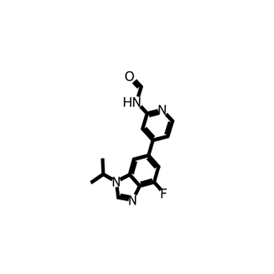 CC(C)n1cnc2c(F)cc(-c3ccnc(NC=O)c3)cc21